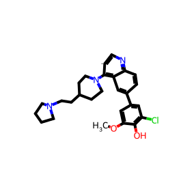 COc1cc(-c2ccc3nc[c]c(N4CCC(CCN5CCCC5)CC4)c3c2)cc(Cl)c1O